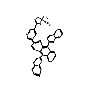 CC1(C)CN=C(c2cncc(-c3ccc4c(-c5ccc6ccccc6c5)c5ccccc5c(-c5ccc6ccccc6c5)c4c3)c2)S1